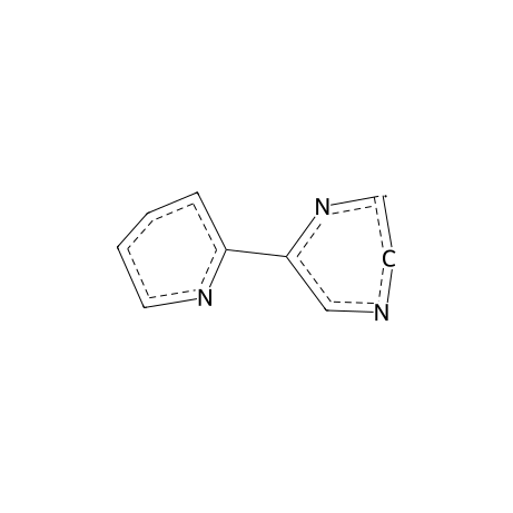 [c]1cncc(-c2ccccn2)n1